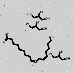 CCCCC/C=C\C/C=C\CCCCCCCC(=O)O.OCC(O)CO.OCC(O)CO.OCC(O)CO